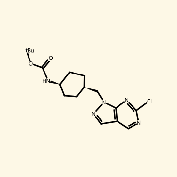 CC(C)(C)OC(=O)N[C@H]1CC[C@@H](Cn2ncc3cnc(Cl)nc32)CC1